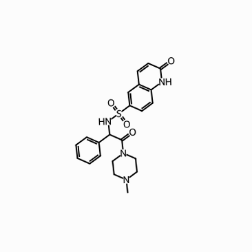 CN1CCN(C(=O)C(NS(=O)(=O)c2ccc3[nH]c(=O)ccc3c2)c2ccccc2)CC1